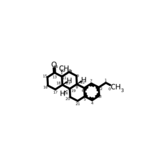 CCc1[c]cc2c(c1)[C@H]1CC[C@]3(C)C(=O)CCC[C@H]3[C@@H]1CC2